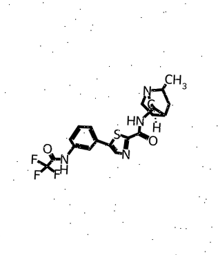 CC1CC2CCN1C[C@@H]2NC(=O)c1ncc(-c2cccc(NC(=O)C(F)(F)F)c2)s1